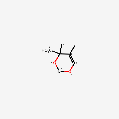 CC1=COBOC1(C)C(=O)O